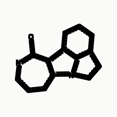 O=c1ncccc2c1c1cccc3ccn2c31